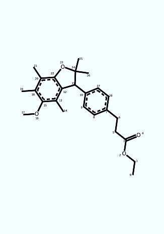 CCOC(=O)CCc1ccc(C2c3c(C)c(OC)c(C)c(C)c3OC2(C)C)cc1